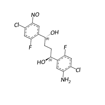 Nc1cc([C@@H](O)CC[C@@H](O)c2cc(N=O)c(Cl)cc2F)c(F)cc1Cl